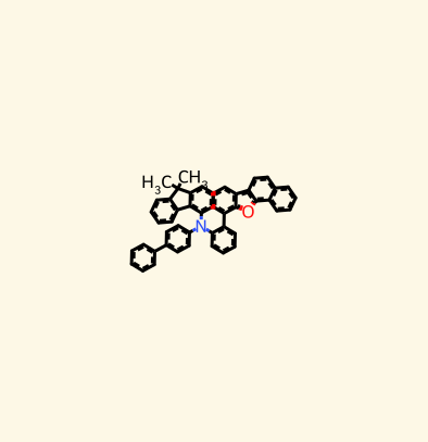 CC1(C)c2ccccc2-c2c(N(c3ccc(-c4ccccc4)cc3)c3ccccc3-c3cccc4c3oc3c5ccccc5ccc43)cccc21